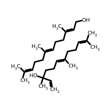 C=CC(C)(O)CC/C=C(\C)CCC=C(C)C.CC(C)=CCC/C(C)=C/CC/C(C)=C/CO